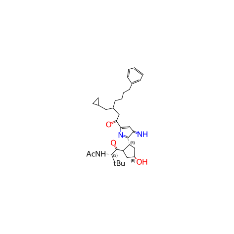 CC(=O)N[C@H](C(=O)C1C[C@H](O)C[C@H]1C1=NC(C(=O)CC(CCCCc2ccccc2)CC2CC2)=CC1=N)C(C)(C)C